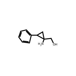 NC1(CO)CC1c1ccccc1